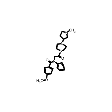 COc1ccc(C(=O)N(CC(=O)N2CCN(C3CCN(C)C3)CC2)c2ccccc2)cc1